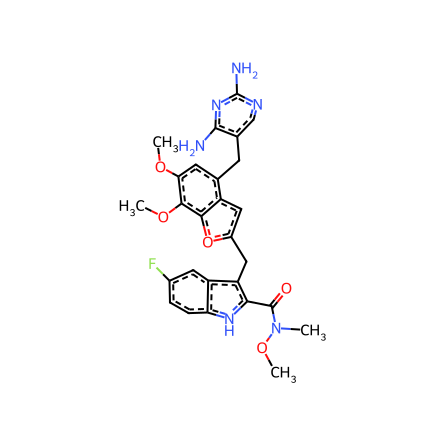 COc1cc(Cc2cnc(N)nc2N)c2cc(Cc3c(C(=O)N(C)OC)[nH]c4ccc(F)cc34)oc2c1OC